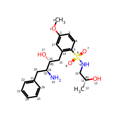 COc1ccc(S(=O)(=O)NC[C@@H](C)O)c(C[C@@H](O)[C@@H](N)Cc2ccccc2)c1